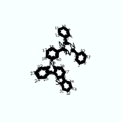 c1ccc(-c2nc(-c3ccccc3)nc(-c3cccc(-n4c5ccccc5c5c6sc7ccccc7c6ccc54)c3)n2)cc1